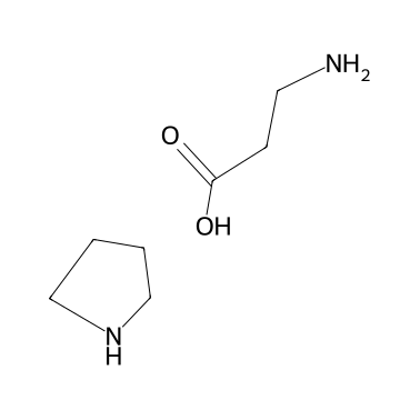 C1CCNC1.NCCC(=O)O